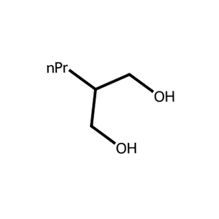 CCCC(CO)CO